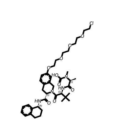 C[C@@H](C(=O)N[C@H](C(=O)N1Cc2cc(OCCOCCOCCOCCCl)ccc2C[C@H]1C(=O)N[C@@H]1CCCc2ccccc21)C(C)(C)C)N(C)C(=O)O